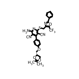 [C-]#[N+]c1c(N)nc(SCc2nc(-c3ccccc3)oc2C(F)(F)F)c(C#N)c1-c1ccc(OC[C@@H]2COC(C)(C)O2)cc1